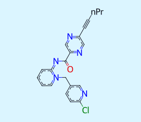 CCCC#Cc1cnc(C(=O)N=c2ccccn2Cc2ccc(Cl)nc2)cn1